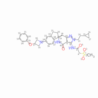 CS(=O)(=O)CC(=O)Nc1c2c(nn1CCC1CC1)C[C@@]1(CCc3cc(N4CC(Oc5ccccc5)C4)ccc31)NC2=O